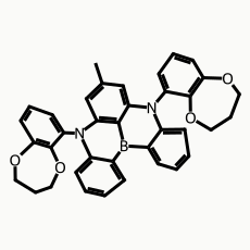 Cc1cc2c3c(c1)N(c1cccc4c1OCCCO4)c1ccccc1B3c1ccccc1N2c1cccc2c1OCCCO2